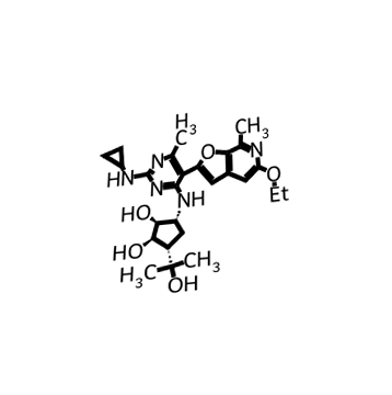 CCOc1cc2cc(-c3c(C)nc(NC4CC4)nc3N[C@@H]3C[C@H](C(C)(C)O)[C@@H](O)[C@H]3O)oc2c(C)n1